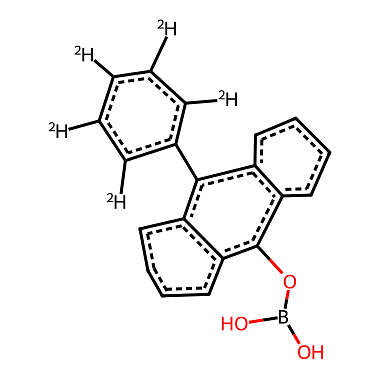 [2H]c1c([2H])c([2H])c(-c2c3ccccc3c(OB(O)O)c3ccccc23)c([2H])c1[2H]